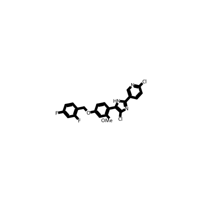 COc1cc(OCc2ccc(F)cc2F)ccc1-c1[nH]c(-c2ccc(Cl)nc2)nc1Cl